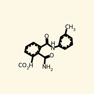 Cc1cccc(NC(=O)c2cccc(C(=O)O)c2C(N)=O)c1